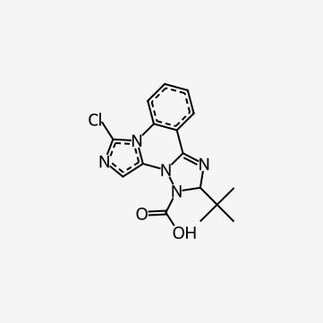 CC(C)(C)C1N=C2c3ccccc3-n3c(cnc3Cl)N2N1C(=O)O